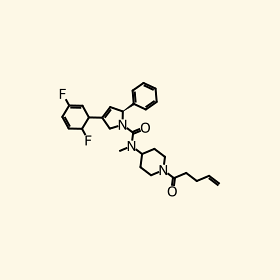 C=CCCC(=O)N1CCC(N(C)C(=O)N2CC(C3C=C(F)C=CC3F)=C[C@H]2c2ccccc2)CC1